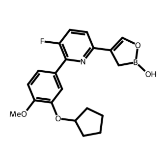 COc1ccc(-c2nc(C3=COB(O)C3)ccc2F)cc1OC1CCCC1